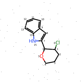 ClC1CCCOC1c1cc2ccccc2[nH]1